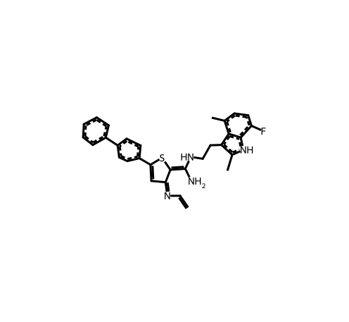 C=C/N=C1/C=C(c2ccc(-c3ccccc3)cc2)S/C1=C(/N)NCCc1c(C)[nH]c2c(F)ccc(C)c12